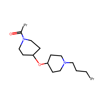 CC(C)CCCN1CCC(OC2CCN(C(=O)C(C)C)CC2)CC1